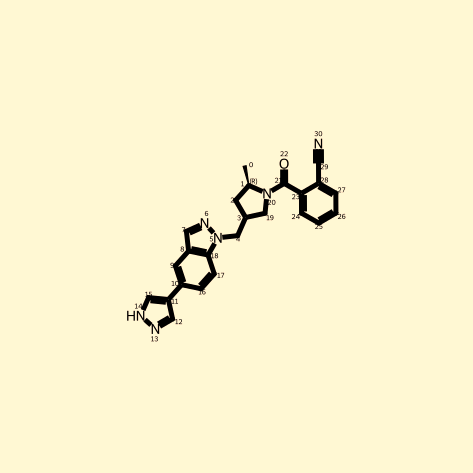 C[C@@H]1CC(Cn2ncc3cc(-c4cn[nH]c4)ccc32)CN1C(=O)c1ccccc1C#N